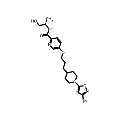 CC(C)c1noc(N2CCC(CCCOc3ccc(C(=O)N[C@H](C)CO)nc3)CC2)n1